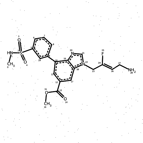 CNS(=O)(=O)c1cccc(-c2cc(C(=O)OC)cc3c2ncn3CC(F)=CCN)c1